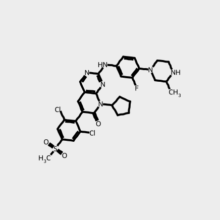 CC1CN(c2ccc(Nc3ncc4cc(-c5c(Cl)cc(S(C)(=O)=O)cc5Cl)c(=O)n(C5CCCC5)c4n3)cc2F)CCN1